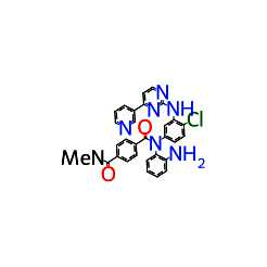 CNC(=O)c1ccc(C(=O)N(c2ccc(Cl)c(Nc3nccc(-c4cccnc4)n3)c2)c2ccccc2N)cc1